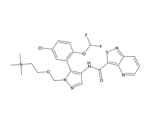 C[Si](C)(C)CCOCn1ncc(NC(=O)c2snc3cccnc23)c1-c1cc(Cl)ccc1OC(F)F